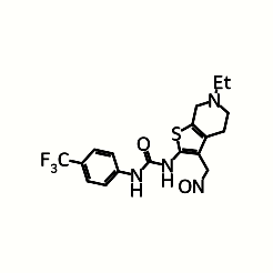 CCN1CCc2c(sc(NC(=O)Nc3ccc(C(F)(F)F)cc3)c2CN=O)C1